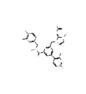 Cc1nc(F)ccc1-c1cc(Cn2ccn(C)c2=NC(=O)O)cc(C(=O)N(C)Cc2ccc(Cl)c(Cl)c2)c1